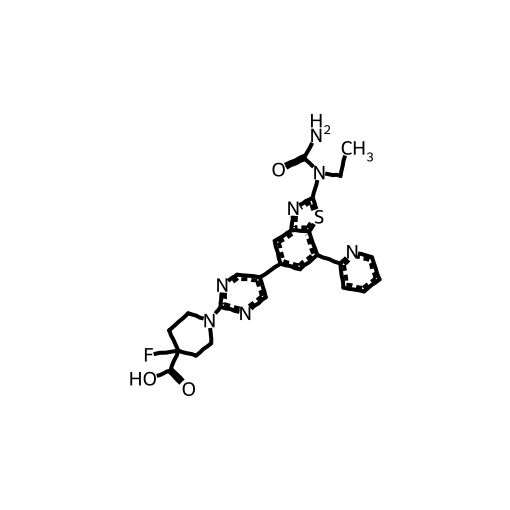 CCN(C(N)=O)c1nc2cc(-c3cnc(N4CCC(F)(C(=O)O)CC4)nc3)cc(-c3ccccn3)c2s1